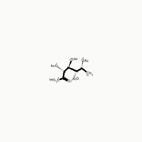 CC(=O)O[C@H]([C@H](OC(C)=O)[C@@H](OC(C)=O)C(=O)C(=O)O)[C@@H](C)OC(C)=O